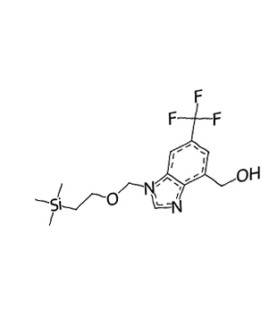 C[Si](C)(C)CCOCn1cnc2c(CO)cc(C(F)(F)F)cc21